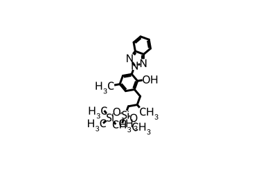 CO[Si](C)(CC(C)Cc1cc(C)cc(-n2nc3ccccc3n2)c1O)O[Si](C)(C)C